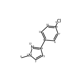 Cn1c[c]c(-c2ccc(Cl)cc2)n1